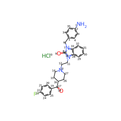 Cl.Nc1ccc(Cn2c(=O)n(CCN3CCC(C(=O)c4ccc(F)cc4)CC3)c3ccccc32)cc1